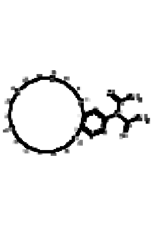 NC(=O)N(C(N)=O)c1ccc2c(c1)OCCOCCOCCOCCCCCO2